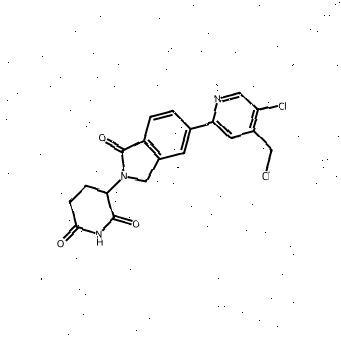 O=C1CCC(N2Cc3cc(-c4cc(CCl)c(Cl)cn4)ccc3C2=O)C(=O)N1